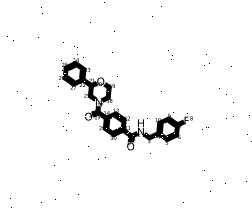 O=C(NCc1ccc(F)cc1)c1ccc(C(=O)N2CCOC(c3ccccc3)C2)cc1